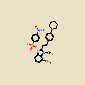 Cc1cccc2sc(C=Cc3ccc(N4CCCCC4)cc3)[n+](C)c12.O=[N+]([O-])c1ccc(S(=O)(=O)[O-])cc1